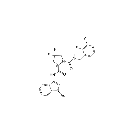 CC(=O)n1cc(NC(=O)[C@H]2CC(F)(F)CN2C(=O)NCc2cccc(Cl)c2F)c2ccccc21